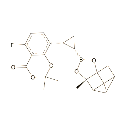 CC1(C)OC(=O)c2c(F)ccc([C@@H]3C[C@@H]3B3OC45CC6CC(C64C)[C@]5(C)O3)c2O1